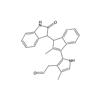 CC1=C(c2[nH]cc(C)c2CC=O)c2ccccc2C1C1C(=O)Nc2ccccc21